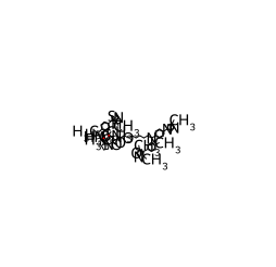 Cc1cn(-c2ccc(N(CCCCCOCC(=O)N[C@H](C(=O)N3CCC[C@H]3C(=O)N[C@@H](C)c3ccc(-c4scnc4C)cc3)C(C)(C)C)c3cc(-c4c(C)noc4C)ccc3C)cc2)cn1